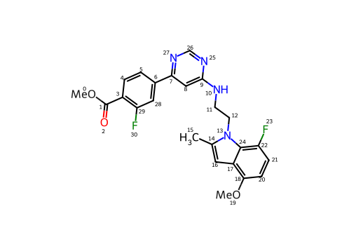 COC(=O)c1ccc(-c2cc(NCCn3c(C)cc4c(OC)ccc(F)c43)ncn2)cc1F